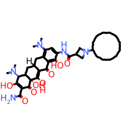 CN(C)c1cc(NC(=O)C2CN(C3CCCCCCCCCCC3)C2)c(O)c2c1C[C@H]1CC3[C@H](N(C)C)C(O)=C(C(N)=O)C(=O)[C@@]3(O)C(O)=C1C2=O